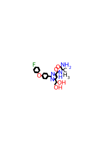 CC(NC(=O)c1cc([C@H](O)CO)nc(-c2ccc(Oc3ccc(F)cc3)cc2)n1)C(N)=O